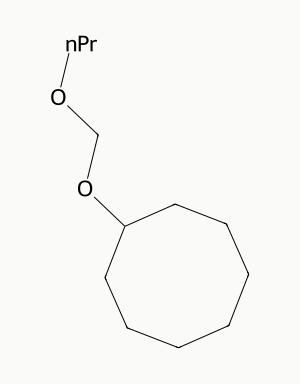 CCCOCOC1CCCCCCC1